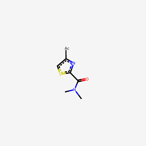 CC(=O)c1csc(C(=O)N(C)C)n1